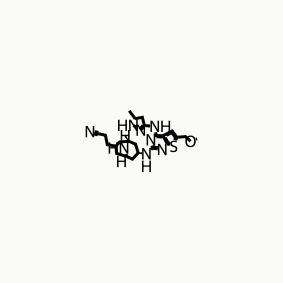 COCc1cc2c(NC3=NNC(C)C3)nc(N[C@@H]3C[C@H]4CC(CCC#N)C[C@@H](C3)N4)nc2s1